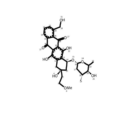 COCC[C@]1(O)Cc2c(O)c3c(c(O)c2[C@@H](O[C@H]2C[C@@H](C)[C@H](O)C(C)O2)C1)C(=O)c1c(CO)cccc1C3=O